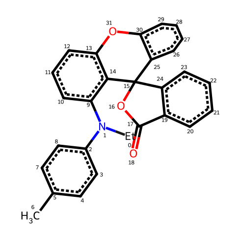 CCN(c1ccc(C)cc1)c1cccc2c1C1(OC(=O)c3ccccc31)c1ccccc1O2